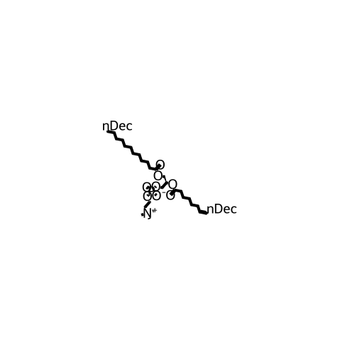 CCCCCCCCCC/C=C\CCCCCC(=O)O[C@H](COC(=O)CCCCCCCCCCCCCCCCCCCCC)COP(=O)([O-])OCC[N+](C)(C)C